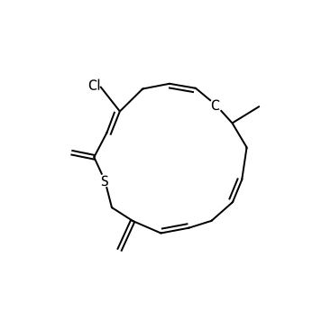 C=C1/C=C\C/C=C\CC(C)C/C=C\C/C(Cl)=C\C(=C)SC1